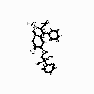 CN1C=C2CC(=O)C(OCC(F)(F)c3ccccn3)C=C2C(c2ccccc2)=C1C#N